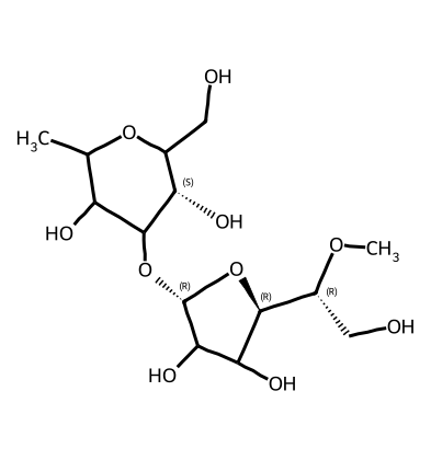 CO[C@H](CO)[C@@H]1O[C@@H](OC2C(O)C(C)OC(CO)[C@@H]2O)C(O)C1O